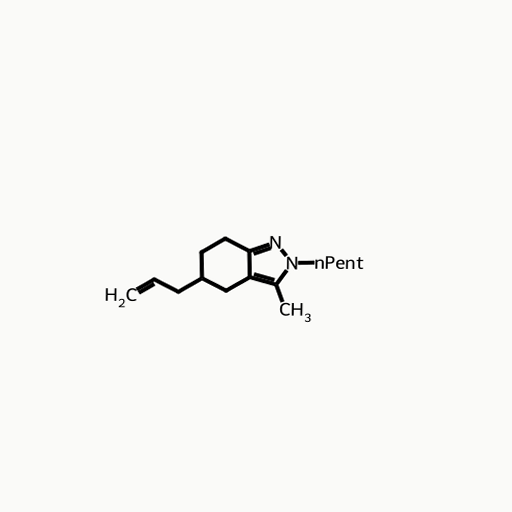 C=CCC1CCc2nn(CCCCC)c(C)c2C1